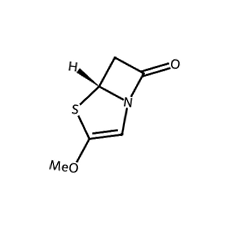 COC1=CN2C(=O)C[C@H]2S1